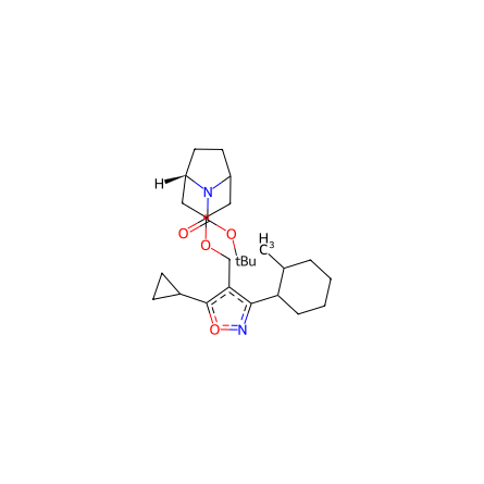 CC1CCCCC1c1noc(C2CC2)c1COC1CC2CC[C@@H](C1)N2C(=O)OC(C)(C)C